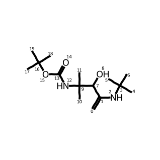 C=C(NC(C)(C)C)C(O)C(C)(C)NC(=O)OC(C)(C)C